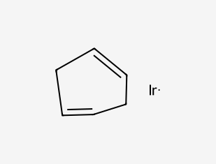 C1=CCC=CC1.[Ir]